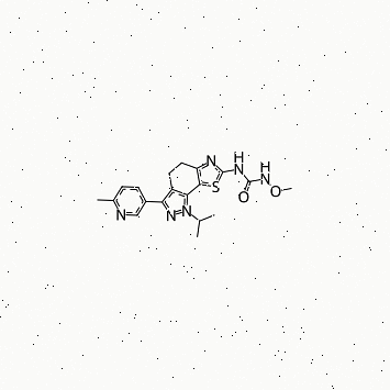 CONC(=O)Nc1nc2c(s1)-c1c(c(-c3ccc(C)nc3)nn1C(C)C)CC2